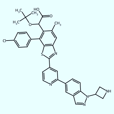 Cc1cc2nc(-c3ccnc(-c4ccc5c(cnn5C5CNC5)c4)c3)sc2c(-c2ccc(Cl)cc2)c1C(OC(C)(C)C)C(=O)O